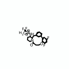 CC(F)(F)S(=O)(=O)NC1CCCN2C(=O)CCOc3c(F)cc(F)cc3-c3cccc(c3)CC12